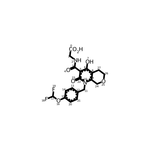 O=C(O)CNC(=O)c1c(O)c2c(n(Cc3ccc(OC(F)F)cc3)c1=O)COCC2